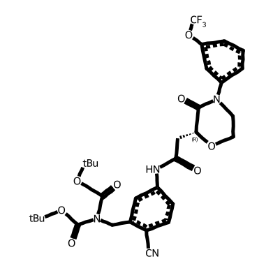 CC(C)(C)OC(=O)N(Cc1cc(NC(=O)C[C@H]2OCCN(c3cccc(OC(F)(F)F)c3)C2=O)ccc1C#N)C(=O)OC(C)(C)C